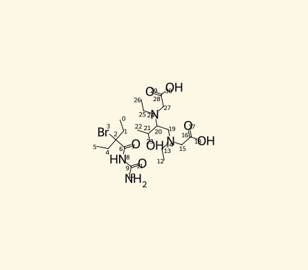 CCC(Br)(CC)C(=O)NC(N)=O.CCN(CC(=O)O)CC(C(C)O)N(CC)CC(=O)O